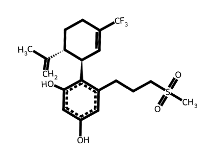 C=C(C)[C@@H]1CCC(C(F)(F)F)=C[C@H]1c1c(O)cc(O)cc1CCCS(C)(=O)=O